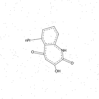 CCCc1cccc2[nH]c(=O)c(O)cc(=O)c12